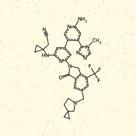 Cn1cnnc1-c1cc(N)ncc1-c1cc(NC2(CC#N)CC2)nc(N2Cc3c(cc(CN4CCC5(CC5)C4)cc3C(F)(F)F)C2=O)c1